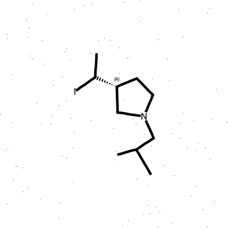 CC(C)CN1CC[C@@H](C(C)I)C1